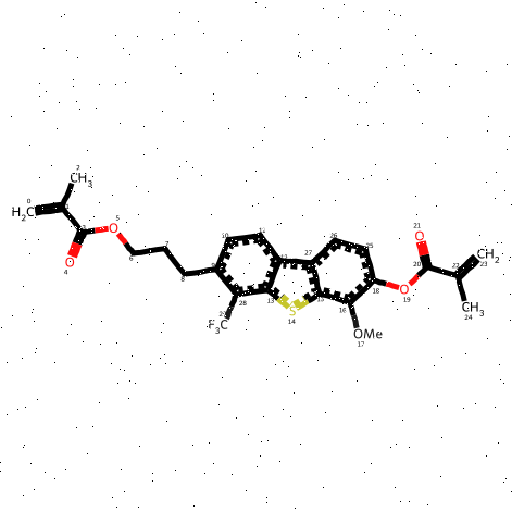 C=C(C)C(=O)OCCCc1ccc2c(sc3c(OC)c(OC(=O)C(=C)C)ccc32)c1C(F)(F)F